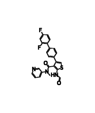 CN(C(=O)c1c(-c2ccc(-c3ccc(F)cc3F)cc2)csc1NC=O)c1cccnc1